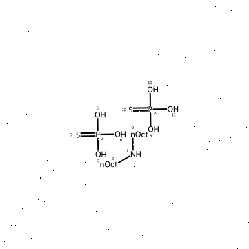 CCCCCCCCNCCCCCCCC.OP(O)(O)=S.OP(O)(O)=S